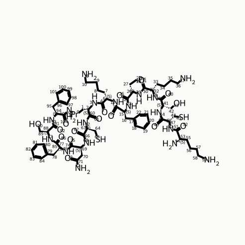 CC(C)C[C@H](NC(=O)[C@H](CCCCN)NC(=O)[C@H](Cc1ccccc1)NC(=O)[C@H](CC(C)C)NC(=O)[C@H](CCCCN)NC(=O)[C@H](CO)NC(=O)[C@H](CS)NC(=O)[C@@H](N)CCCCN)C(=O)N[C@@H](CS)C(=O)N[C@@H](CC(N)=O)C(=O)N[C@@H](Cc1ccccc1)C(=O)N[C@@H](CO)C(=O)N[C@@H](Cc1ccccc1)C(N)=O